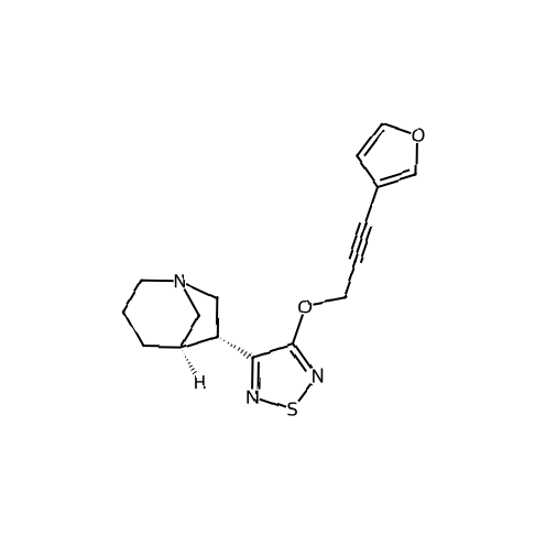 C(#Cc1ccoc1)COc1nsnc1[C@H]1CN2CCC[C@H]1C2